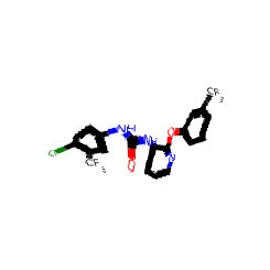 O=C(Nc1ccc(Cl)c(C(F)(F)F)c1)Nc1cccnc1Oc1cccc(C(F)(F)F)c1